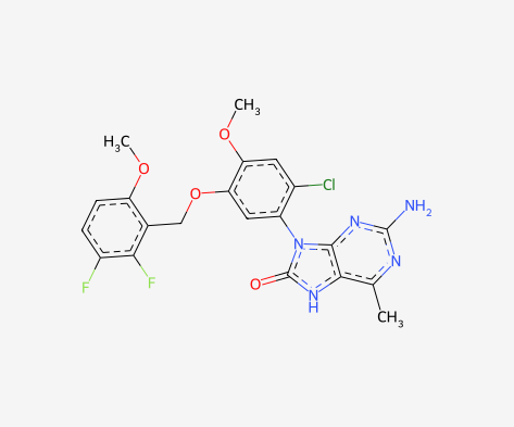 COc1cc(Cl)c(-n2c(=O)[nH]c3c(C)nc(N)nc32)cc1OCc1c(OC)ccc(F)c1F